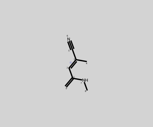 C=C(/C=C(\C)C#N)NC